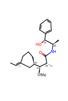 C/C=C1\CCC[C@@H]([C@H](OC)[C@@H](C)C(=O)N[C@H](C)[C@@H](O)c2ccccc2)C1